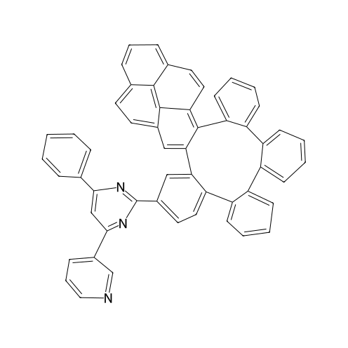 c1ccc(-c2cc(-c3cccnc3)nc(-c3ccc4c5ccccc5c5ccccc5c5ccccc5c5c(cc6ccc7cccc8ccc5c6c78)c4c3)n2)cc1